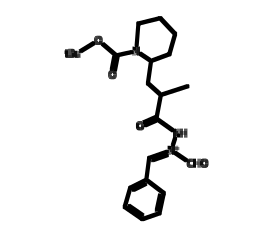 CC(CC1CCCCN1C(=O)OC(C)(C)C)C(=O)N[N+](C=O)=Cc1ccccc1